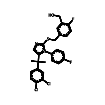 CC(C)(c1ccc(Cl)c(Cl)c1)c1cnc(SCc2ccc(F)c(CO)c2)n1-c1ccc(F)cc1